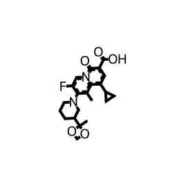 Cc1c(N2CCCC(C3(C)OCO3)C2)c(F)cn2c(=O)c(C(=O)O)cc(C3CC3)c12